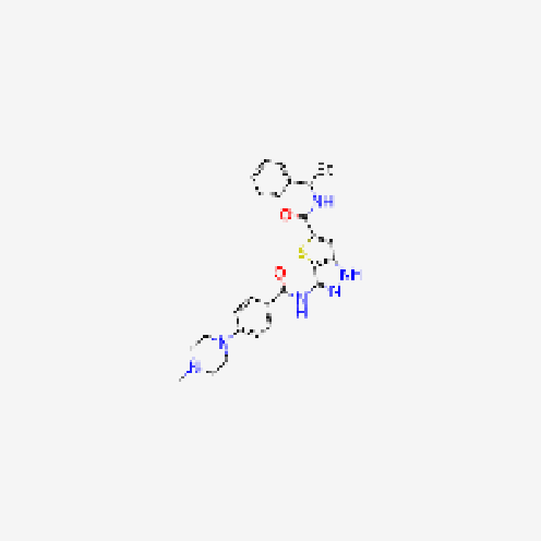 CCC(NC(=O)c1cc2[nH]nc(NC(=O)c3ccc(N4CCN(C)CC4)cc3)c2s1)c1ccccc1